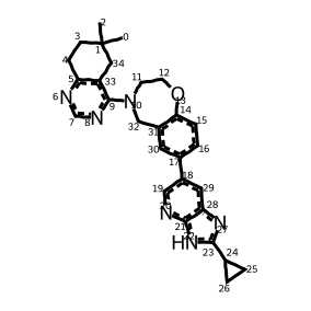 CC1(C)CCc2ncnc(N3CCOc4ccc(-c5cnc6[nH]c(C7CC7)nc6c5)cc4C3)c2C1